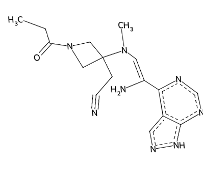 CCC(=O)N1CC(CC#N)(N(C)/C=C(\N)c2ncnc3[nH]ncc23)C1